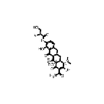 CN(C)[C@@H]1C(O)=C(C(N)=O)C(=O)[C@@]2(O)C(O)=C3C(=O)c4c(ccc(NC(=O)C(Br)CO)c4O)CC3CC12